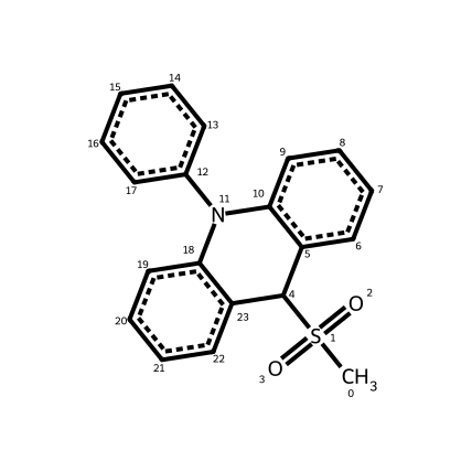 CS(=O)(=O)C1c2ccccc2N(c2ccccc2)c2ccccc21